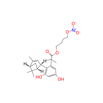 CC1=C[C@H](c2c(O)cc(O)cc2C(C)(C)C(=O)OCCCCO[N+](=O)[O-])[C@H]2C[C@@H]1C2(C)C